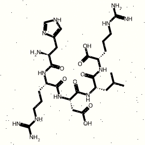 CC(C)C[C@H](NC(=O)[C@H](CC(=O)O)NC(=O)[C@H](CCCNC(=N)N)NC(=O)[C@@H](N)Cc1c[nH]cn1)C(=O)N[C@@H](CCCNC(=N)N)C(=O)O